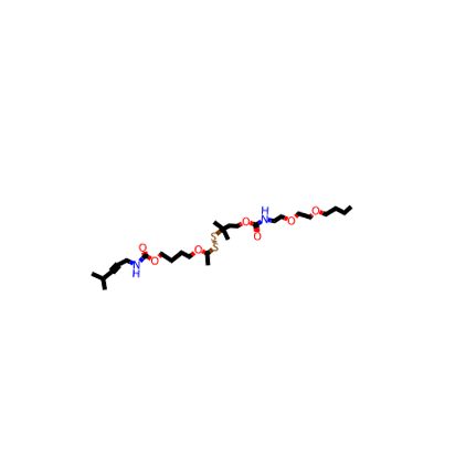 CCCCOCCOCCNC(=O)OCCC(C)(C)SSC(C)OCCCCOC(=O)NCC#CC(C)C